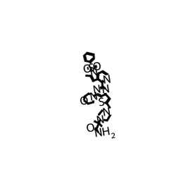 Cc1cc2c(-c3nc(N4CCOCC4)c4sc(CN5CCN(C(C)(C)C(N)=O)CC5)cc4n3)nccc2n1S(=O)(=O)c1ccccc1